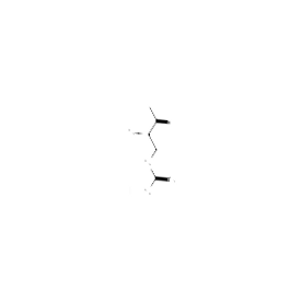 CC(=O)[C@H](N)CNC(=N)N